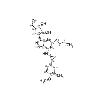 CCCSc1nc(NC2CC2c2ccc(OC)c(C)c2)c2nnn([C@H]3C[C@@H](CO)[C@H](O)[C@@H]3O)c2n1